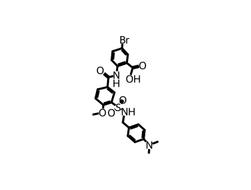 COc1ccc(C(=O)Nc2ccc(Br)cc2C(=O)O)cc1S(=O)(=O)NCc1ccc(N(C)C)cc1